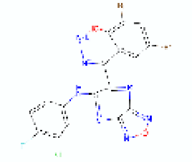 NN=C(c1cc(Br)cc(Br)c1O)c1nc2nonc2nc1Nc1ccc(F)c(Cl)c1